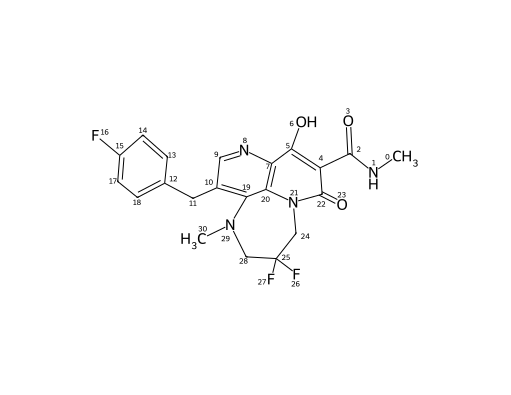 CNC(=O)c1c(O)c2ncc(Cc3ccc(F)cc3)c3c2n(c1=O)CC(F)(F)CN3C